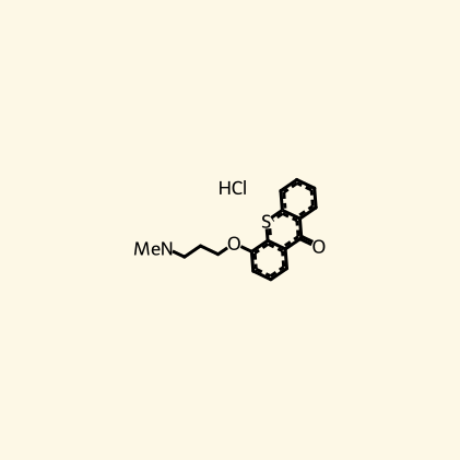 CNCCCOc1cccc2c(=O)c3ccccc3sc12.Cl